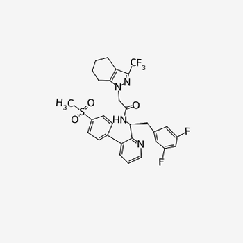 CS(=O)(=O)c1ccc(-c2cccnc2[C@H](Cc2cc(F)cc(F)c2)NC(=O)Cn2nc(C(F)(F)F)c3c2CCCC3)cc1